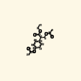 CCOC(=O)C(COC(C)=O)c1ccc(OC(C)=O)cc1